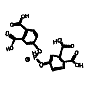 O=C(O)c1ccc(O[PH](=O)Oc2ccc(C(=O)O)c(C(=O)O)c2)cc1C(=O)O